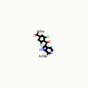 CNC(=O)c1cc(Cl)c(C(=O)c2c[nH]c3c(NC(C)=O)nccc23)c(Cl)c1